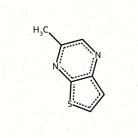 Cc1cnc2ccsc2n1